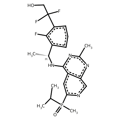 Cc1nc(N[C@H](C)c2cccc(C(F)(F)CO)c2F)c2cc(P(C)(=O)C(C)C)ncc2n1